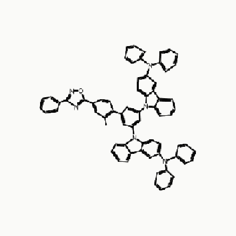 Cc1cc(-c2nc(-c3ccccc3)no2)ccc1-c1cc(-n2c3ccccc3c3cc(N(c4ccccc4)c4ccccc4)ccc32)cc(-n2c3ccccc3c3cc(N(c4ccccc4)c4ccccc4)ccc32)c1